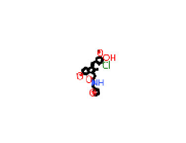 COc1ccc2c(c1)C(CC(=O)NCc1ccco1)=C(C)C2=Cc1cc(Cl)c(O)c(OC)c1